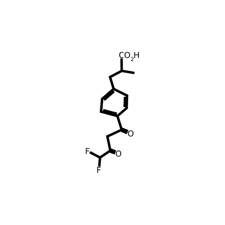 CC(Cc1ccc(C(=O)CC(=O)C(F)F)cc1)C(=O)O